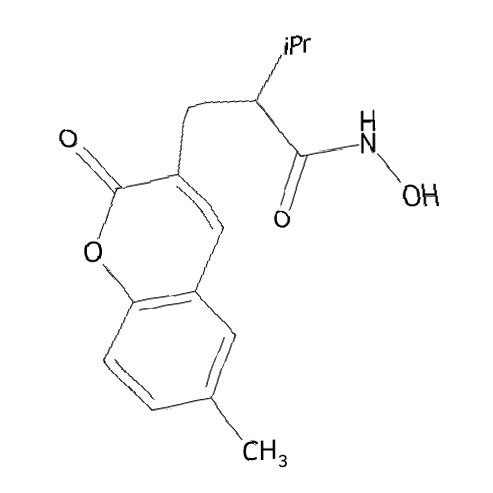 Cc1ccc2oc(=O)c(CC(C(=O)NO)C(C)C)cc2c1